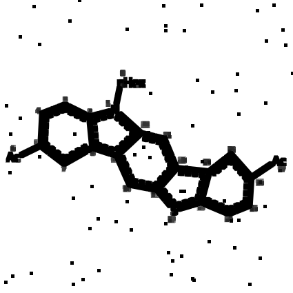 CCCCCCn1c2ccc(C(C)=O)cc2c2cc3sc4ccc(C(C)=O)cc4c3cc21